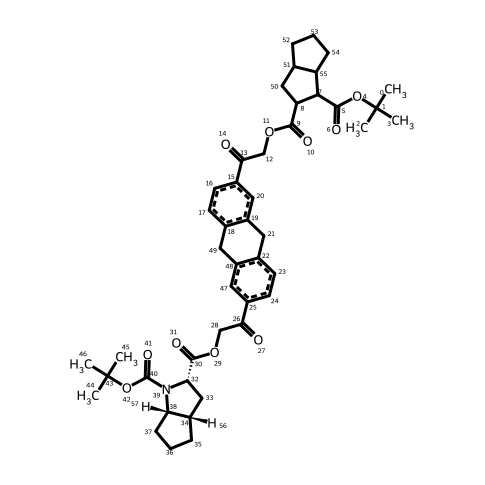 CC(C)(C)OC(=O)C1C(C(=O)OCC(=O)c2ccc3c(c2)Cc2ccc(C(=O)COC(=O)[C@@H]4C[C@@H]5CCC[C@@H]5N4C(=O)OC(C)(C)C)cc2C3)CC2CCCC21